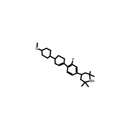 COC1CCC(C2CC=C(c3ccc(C4CC(C)(C)NC(C)(C)C4)cc3F)CC2)CC1